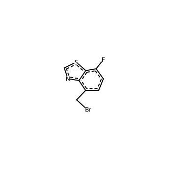 Fc1ccc(CBr)c2ncsc12